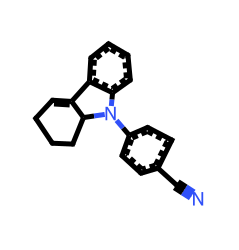 N#Cc1ccc(N2c3ccccc3C3=CCCCC32)cc1